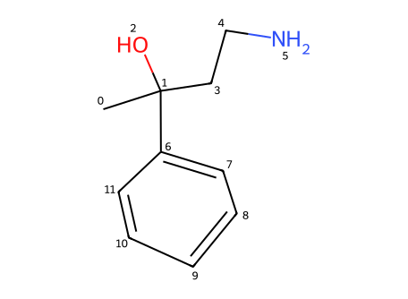 CC(O)(CCN)c1ccccc1